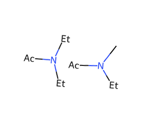 [CH2]C(=O)N(C)CC.[CH2]C(=O)N(CC)CC